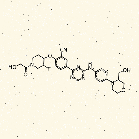 N#Cc1cc(-c2ncnc(Nc3ccc(N4CCOCC4CO)cc3)n2)ccc1OC1CCN(C(=O)CO)CC1F